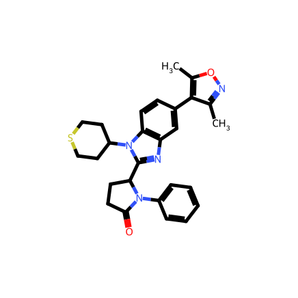 Cc1noc(C)c1-c1ccc2c(c1)nc(C1CCC(=O)N1c1ccccc1)n2C1CCSCC1